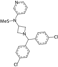 CSN(c1cccnc1)C1CN(C(c2ccc(Cl)cc2)c2ccc(Cl)cc2)C1